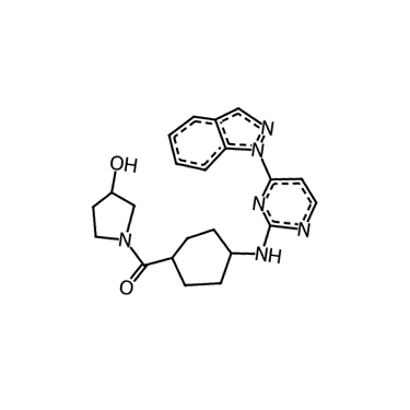 O=C(C1CCC(Nc2nccc(-n3ncc4ccccc43)n2)CC1)N1CCC(O)C1